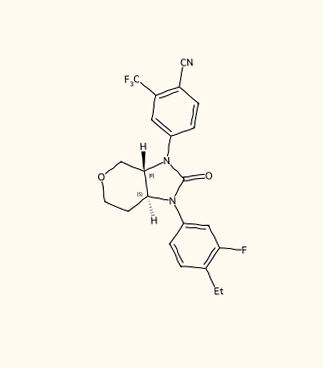 CCc1ccc(N2C(=O)N(c3ccc(C#N)c(C(F)(F)F)c3)[C@H]3COCC[C@@H]32)cc1F